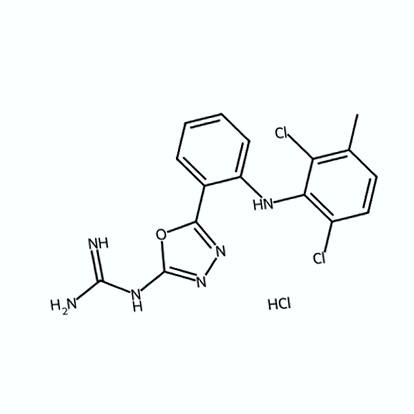 Cc1ccc(Cl)c(Nc2ccccc2-c2nnc(NC(=N)N)o2)c1Cl.Cl